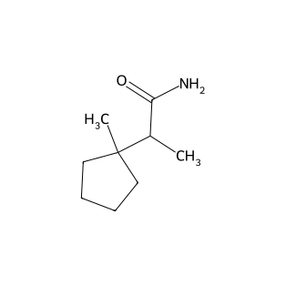 CC(C(N)=O)C1(C)CCCC1